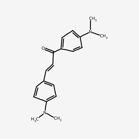 CN(C)c1ccc(C=CC(=O)c2ccc(N(C)C)cc2)cc1